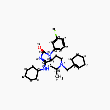 C[C@H]1C[C@]2(CCN1CC1=CCCCC1)C(NC1CCCCC1)=NC(=O)N2c1cccc(F)c1